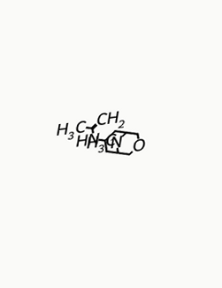 C=C(C)NC1CC2COCC(C1)N2C